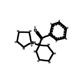 O=C(c1ccccc1)C1([SiH]2CCCC2)CCCCC1